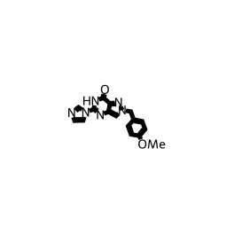 COc1ccc(Cn2cc3nc(-n4ccnc4)[nH]c(=O)c3n2)cc1